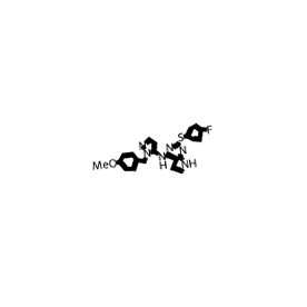 COc1ccc(Cn2nccc2Nc2nc(Sc3ccc(F)cc3)nc3[nH]ccc23)cc1